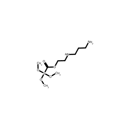 CO[Si](OC)(OC)C(=O)OCCNCCCN